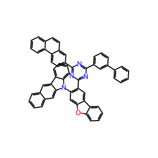 c1ccc(-c2cccc(-c3nc(-c4ccc5c(ccc6ccccc65)c4)nc(-c4cc5c(cc4-n4c6ccccc6c6cc7ccccc7cc64)oc4ccccc45)n3)c2)cc1